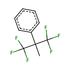 CC(c1ccccc1)(C(F)(F)F)C(F)(F)F